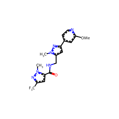 COc1cc(-c2cc(CNC(=O)c3cc(C(F)(F)F)nn3C)n(C)n2)ccn1